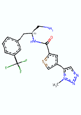 Cn1nncc1-c1csc(C(=O)N[C@H](CN)Cc2cccc(C(F)(F)F)c2)c1